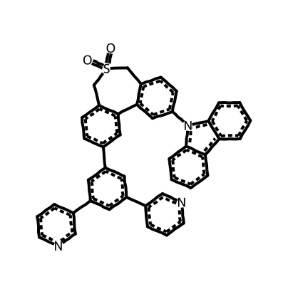 O=S1(=O)Cc2ccc(-c3cc(-c4cccnc4)cc(-c4cccnc4)c3)cc2-c2cc(-n3c4ccccc4c4ccccc43)ccc2C1